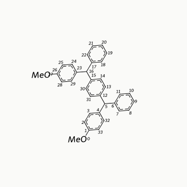 COc1ccc(C(c2ccccc2)c2ccc(C(c3ccccc3)c3ccc(OC)cc3)cc2)cc1